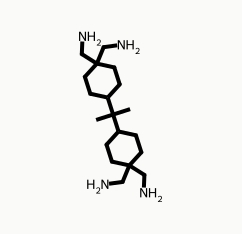 CC(C)(C1CCC(CN)(CN)CC1)C1CCC(CN)(CN)CC1